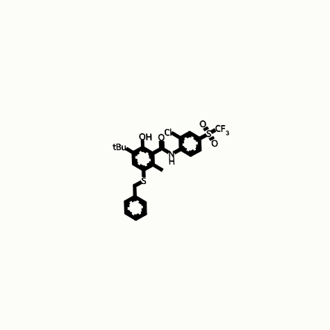 Cc1c(SCc2ccccc2)cc(C(C)(C)C)c(O)c1C(=O)Nc1ccc(S(=O)(=O)C(F)(F)F)cc1Cl